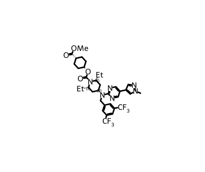 CC[C@@H]1C[C@H](N(Cc2cc(C(F)(F)F)cc(C(F)(F)F)c2)c2ncc(-c3cnn(C)c3)cn2)C[C@H](CC)N1C(=O)O[C@H]1CC[C@@H](C(=O)OC)CC1